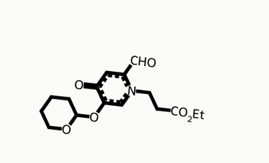 CCOC(=O)CCn1cc(OC2CCCCO2)c(=O)cc1C=O